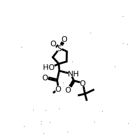 COC(=O)C(NC(=O)OC(C)(C)C)C1(O)CCS(=O)(=O)C1